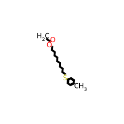 C=CC(=O)OCCCCCCCCCCCSc1ccc(C)cc1